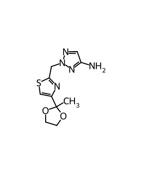 CC1(c2csc(Cn3ncc(N)n3)n2)OCCO1